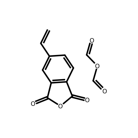 C=Cc1ccc2c(c1)C(=O)OC2=O.O=COC=O